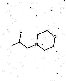 FC(F)CN1CCOCC1